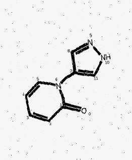 O=c1ccccn1-c1cn[nH]c1